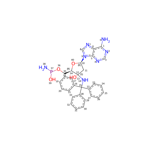 Nc1ncnc2c1ncn2[C@H]1C[C@@](O)(NC(c2ccccc2)(c2ccccc2)c2ccccc2)[C@@H](COP(N)O)O1